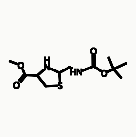 COC(=O)C1CSC(CNC(=O)OC(C)(C)C)N1